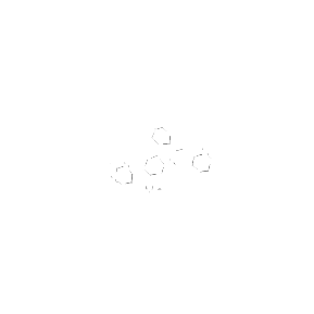 COc1cnc(Cl)nc1-c1ccc(N(Cc2cccnc2)C(=O)c2ccc(O)cc2O)cc1